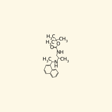 CC(CNC(=O)OC(C)(C)C)NC(C)c1cccc2ccccc12